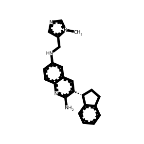 Cn1cncc1CNc1ccc2nc(N)c([C@@H]3CCc4ccccc43)cc2c1